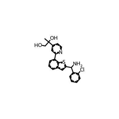 CC(O)(CO)c1ccnc(-c2cccc3cc(C(N)c4ccccc4Cl)sc23)c1